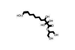 CCCCCCCC/C=C\CCCCCC(O)C(O)(O)C(=O)OC(CO)CO